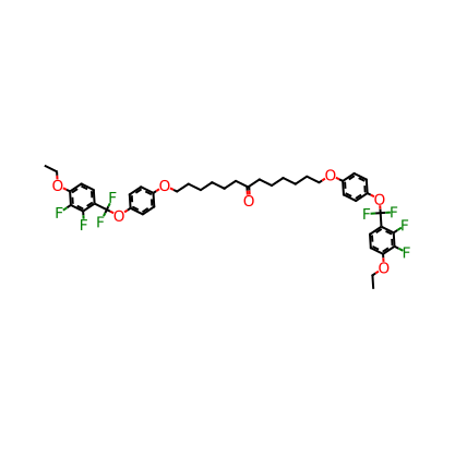 CCOc1ccc(C(F)(F)Oc2ccc(OCCCCCCC(=O)CCCCCCOc3ccc(OC(F)(F)c4ccc(OCC)c(F)c4F)cc3)cc2)c(F)c1F